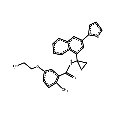 Cc1ccc(OCCN)cc1C(=O)NC1(c2cc(-c3cccs3)cc3ccccc23)CC1